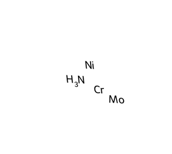 N.[Cr].[Mo].[Ni]